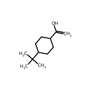 C=C(O)C1CCC(C(C)(C)C)CC1